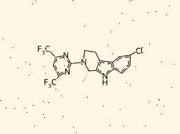 C[C@H]1c2[nH]c3ccc(Cl)cc3c2CCN1c1nc(C(F)(F)F)cc(C(F)(F)F)n1